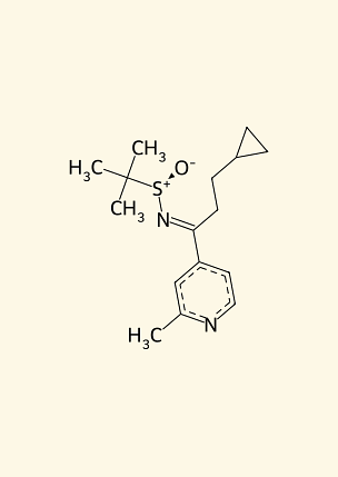 Cc1cc(C(CCC2CC2)=N[S@+]([O-])C(C)(C)C)ccn1